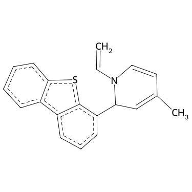 C=CN1C=CC(C)=CC1c1cccc2c1sc1ccccc12